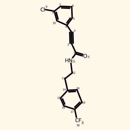 O=C(C#Cc1cccc(Cl)c1)NCCc1ccc(C(F)(F)F)cc1